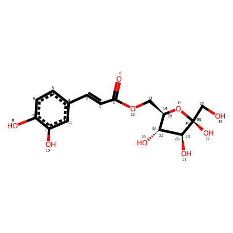 O=C(C=Cc1ccc(O)c(O)c1)OC[C@H]1O[C@](O)(CO)[C@@H](O)[C@@H]1O